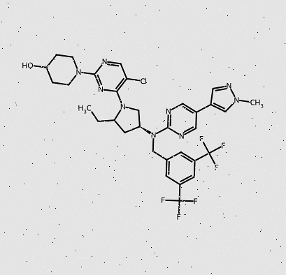 CCC1C[C@H](N(Cc2cc(C(F)(F)F)cc(C(F)(F)F)c2)c2ncc(-c3cnn(C)c3)cn2)CN1c1nc(N2CCC(O)CC2)ncc1Cl